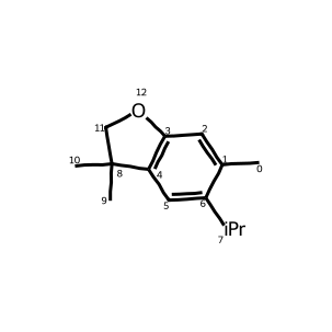 Cc1cc2c(cc1C(C)C)C(C)(C)CO2